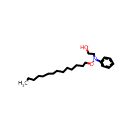 CCCCCCCCCCCCCCON(CCO)c1ccccc1